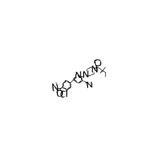 CCC(C)(C)C(=O)N1CCN(c2ncc(-c3ccc(C(=O)N(C)C)c(Cl)c3)cc2C#N)CC1